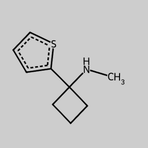 CNC1(c2cccs2)CCC1